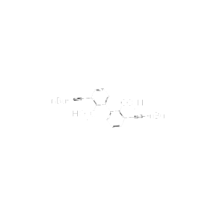 CCCCC#Cc1cccc(-c2cccc(C#CCCCC)c2C(=O)O)c1C(=O)O